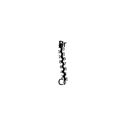 ClCC=CCCCCCCCCCCCBr